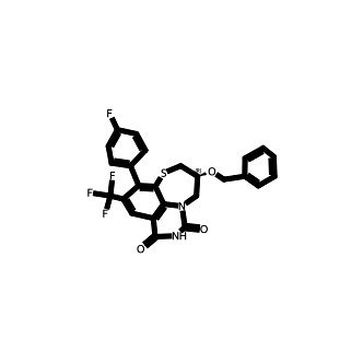 O=c1[nH]c(=O)n2c3c(c(-c4ccc(F)cc4)c(C(F)(F)F)cc13)SC[C@H](OCc1ccccc1)C2